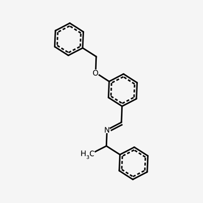 CC(N=Cc1cccc(OCc2ccccc2)c1)c1ccccc1